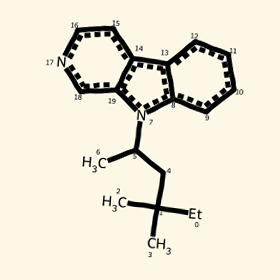 CCC(C)(C)CC(C)n1c2ccccc2c2ccncc21